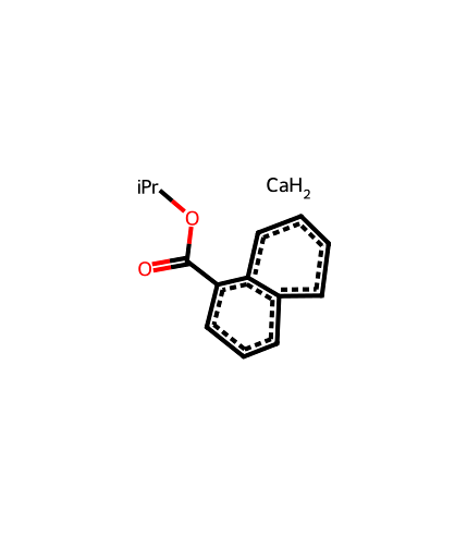 CC(C)OC(=O)c1cccc2ccccc12.[CaH2]